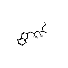 CCCC(C)C(N)CC(N)Cc1ccc2ncncc2c1